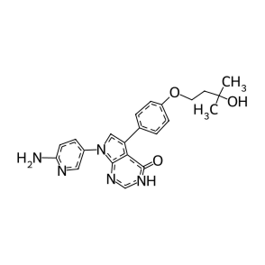 CC(C)(O)CCOc1ccc(-c2cn(-c3ccc(N)nc3)c3nc[nH]c(=O)c23)cc1